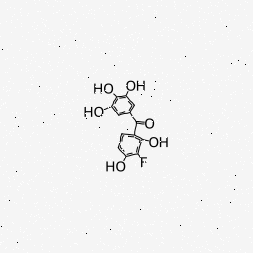 O=C(c1cc(O)c(O)c(O)c1)c1ccc(O)c(F)c1O